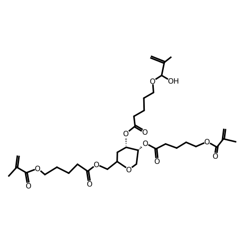 C=C(C)C(=O)OCCCCC(=O)OCC1C[C@H](OC(=O)CCCCOC(O)C(=C)C)[C@H](OC(=O)CCCCOC(=O)C(=C)C)CO1